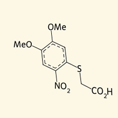 COc1cc(SCC(=O)O)c([N+](=O)[O-])cc1OC